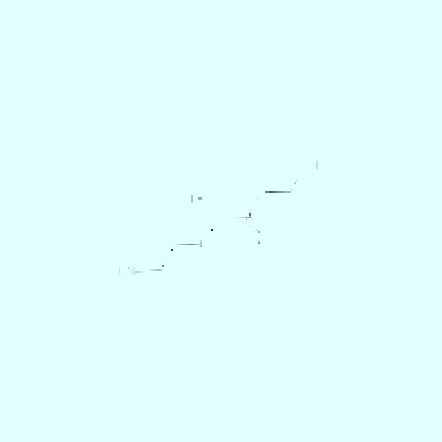 Cl.NCCOCC(=O)OCC=O